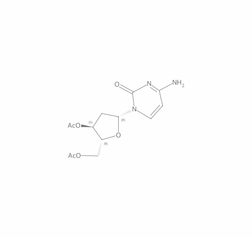 CC(=O)OC[C@H]1O[C@@H](n2ccc(N)nc2=O)C[C@@H]1OC(C)=O